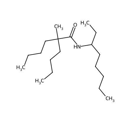 CCCCCC(CC)NC(=O)C(C)(CCCC)CCCC